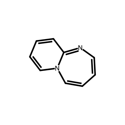 C1=CN=C2C=CC=CN2C=C1